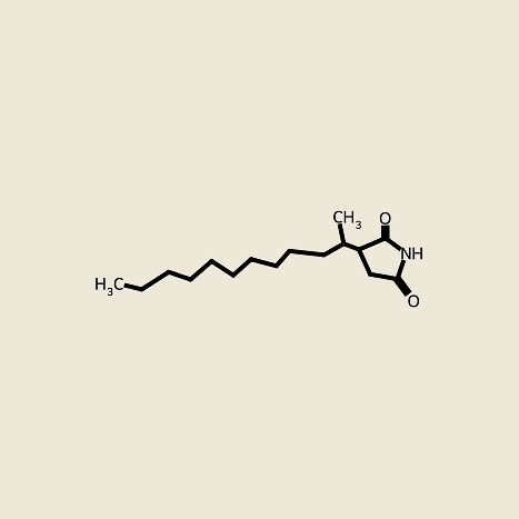 CCCCCCCCCCC(C)C1CC(=O)NC1=O